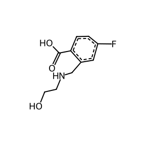 O=C(O)c1ccc(F)cc1CNCCO